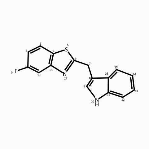 Fc1ccc2sc(Cc3c[nH]c4ccccc34)nc2c1